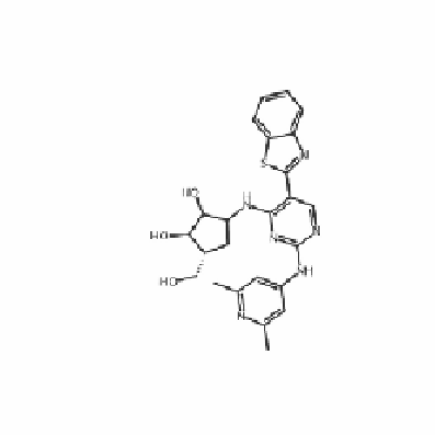 Cc1cc(Nc2ncc(-c3nc4ccccc4s3)c(NC3C[C@H](CO)[C@@H](O)[C@H]3O)n2)cc(C)n1